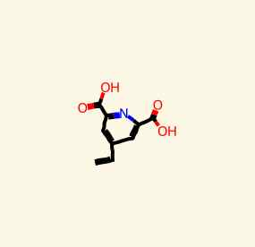 C=Cc1cc(C(=O)O)nc(C(=O)O)c1